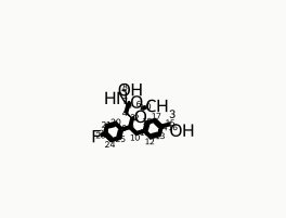 CCO[C@H](CC(=O)NO)C(Cc1ccc(CO)cc1)c1ccc(F)cc1